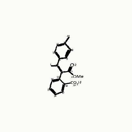 COC(=O)/C(=C(/C)c1ccc(C)cc1)c1ccccc1C(=O)O